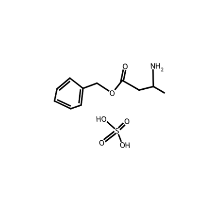 CC(N)CC(=O)OCc1ccccc1.O=S(=O)(O)O